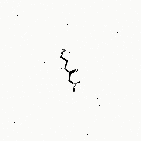 C[N+](C)CC(=O)NCCO